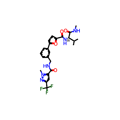 CNC(=O)[C@@H](NC(=O)c1ccc(-c2cccc(CNC(=O)c3cc(C(F)(F)F)nn3C)c2)o1)C(C)C